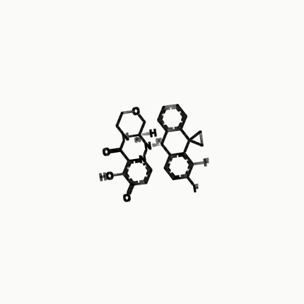 O=C1c2c(O)c(=O)ccn2N([C@@H]2c3ccccc3C3(CC3)c3c2ccc(F)c3F)[C@@H]2COCCN12